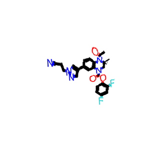 CC(=O)N1c2ccc(-c3cnn(CCC#N)c3)cc2N(C(=O)Oc2ccc(F)cc2F)C[C@@H]1C